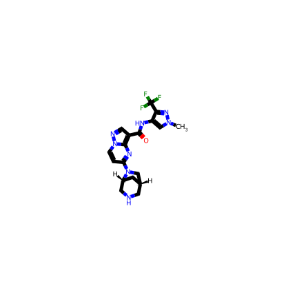 Cn1cc(NC(=O)c2cnn3ccc(N4C[C@@H]5CNC[C@H]4C5)nc23)c(C(F)(F)F)n1